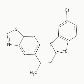 CCc1ccc2nc(CC(C)c3ccc4scnc4c3)sc2c1